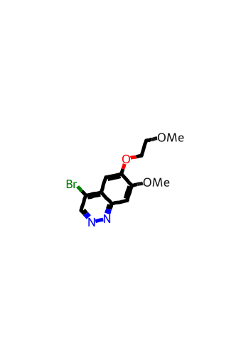 COCCOc1cc2c(Br)cnnc2cc1OC